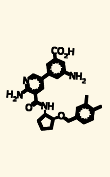 Cc1ccc(CO[C@H]2CCC[C@@H]2NC(=O)c2cc(-c3cc(N)cc(C(=O)O)c3)cnc2N)cc1C